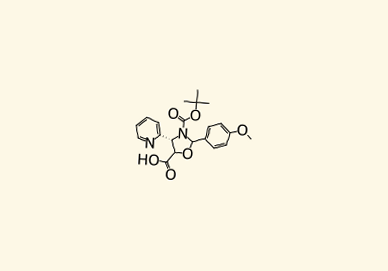 COc1ccc(C2OC(C(=O)O)[C@H](c3ccccn3)N2C(=O)OC(C)(C)C)cc1